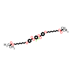 C=C(C)C(=O)OCCCCCCCCCOc1ccc(C(=O)Oc2ccc(OC(=O)c3ccc(OCCCCCCCCCOC(=O)C(=C)C)cc3)c(F)c2F)cc1